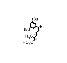 CC/C(=C/C=C/C(C)=C/C(=O)O)c1cc(C(C)(C)C)cc(C(C)(C)C)c1